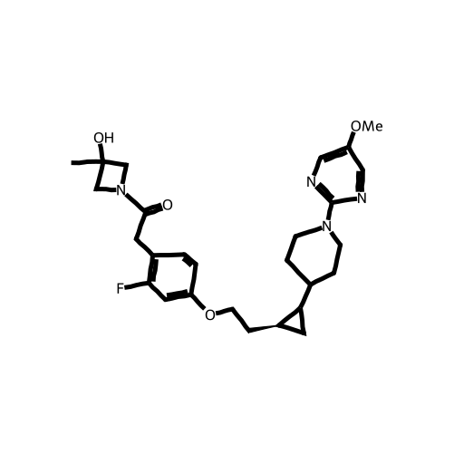 COc1cnc(N2CCC(C3C[C@H]3CCOc3ccc(CC(=O)N4CC(C)(O)C4)c(F)c3)CC2)nc1